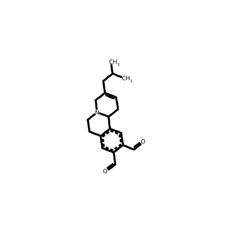 CC(C)CC1=CCC2c3cc(C=O)c(C=O)cc3CCN2C1